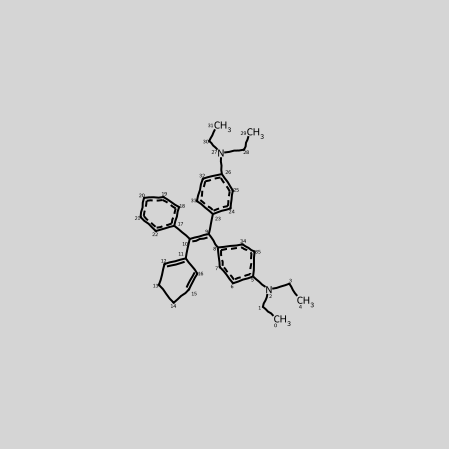 CCN(CC)c1ccc(C(=C(C2=CCCC=C2)c2ccccc2)c2ccc(N(CC)CC)cc2)cc1